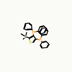 C[Si](C)(C)c1scc(P(c2ccccc2)c2ccccc2)c1P(c1ccccc1)c1ccccc1